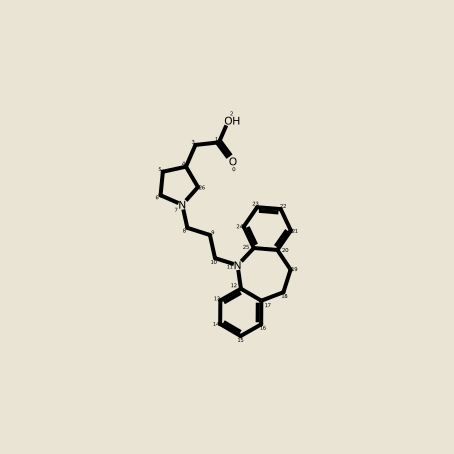 O=C(O)CC1CCN(CCCN2c3ccccc3CCc3ccccc32)C1